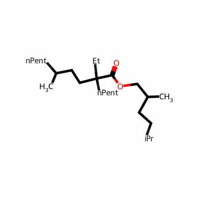 CCCCCC(C)CCC(CC)(CCCCC)C(=O)OCC(C)CCC(C)C